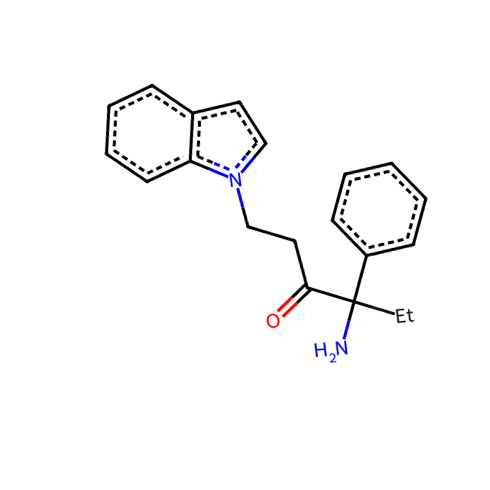 [CH2]CC(N)(C(=O)CCn1ccc2ccccc21)c1ccccc1